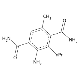 CCCc1c(N)c(C(N)=O)cc(C)c1C(N)=O